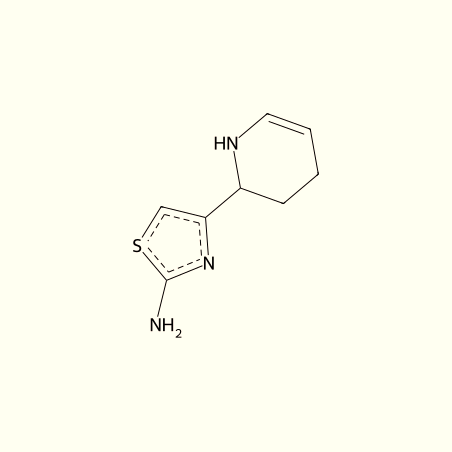 Nc1nc(C2CCC=CN2)cs1